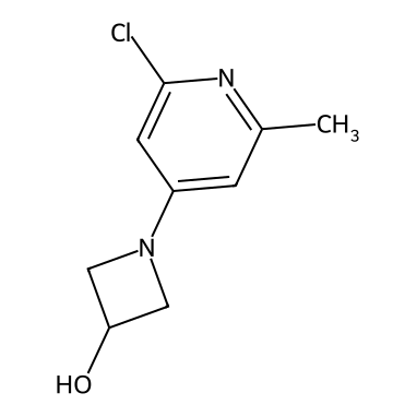 Cc1cc(N2CC(O)C2)cc(Cl)n1